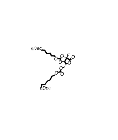 CCCCCCCCCCCCCCCCOC(=O)OC[C@H]1OC(=O)[C@](C)(F)[C@@H]1OC(=O)OCCCCCCCCCCCCCCCC